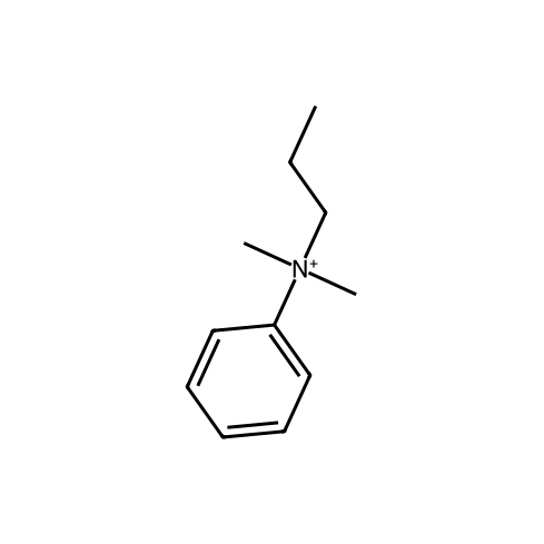 CCC[N+](C)(C)c1ccccc1